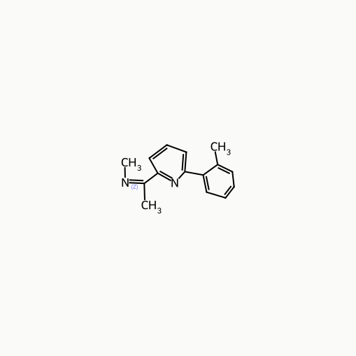 C/N=C(/C)c1cccc(-c2ccccc2C)n1